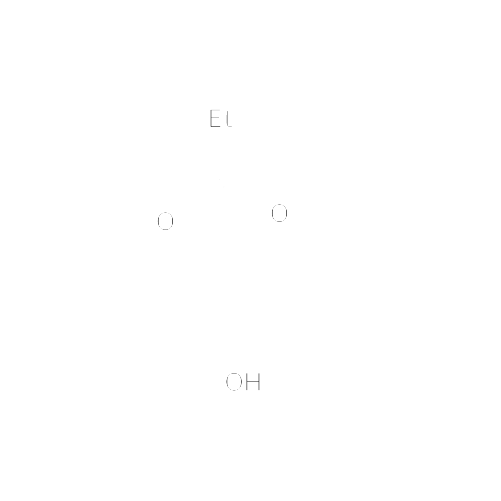 CCC(=O)OC(C)CO